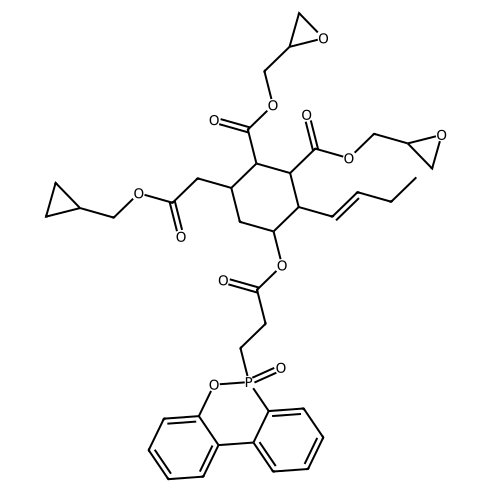 CCC=CC1C(OC(=O)CCP2(=O)Oc3ccccc3-c3ccccc32)CC(CC(=O)OCC2CC2)C(C(=O)OCC2CO2)C1C(=O)OCC1CO1